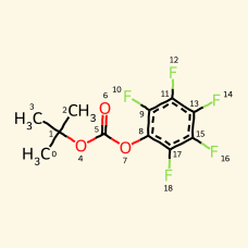 CC(C)(C)OC(=O)Oc1c(F)c(F)c(F)c(F)c1F